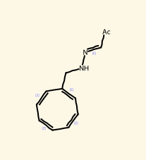 CC(=O)/C=N/NCC1=C/C=C\C=C/C=C\1